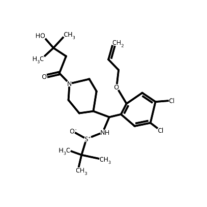 C=CCOc1cc(Cl)c(Cl)cc1C(N[S+]([O-])C(C)(C)C)C1CCN(C(=O)CC(C)(C)O)CC1